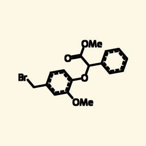 COC(=O)C(Oc1ccc(CBr)cc1OC)c1ccccc1